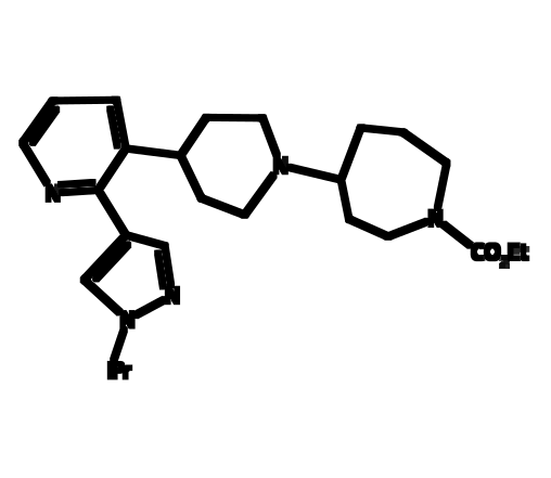 CCOC(=O)N1CCCC(N2CCC(c3cccnc3-c3cnn(C(C)C)c3)CC2)CC1